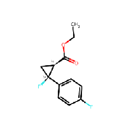 CCOC(=O)[C@@H]1C[C@@]1(F)c1ccc(F)cc1